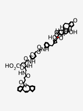 C[C@]12C=CC(=O)C=C1CC[C@@H]1[C@@H]2[C@@H](O)C[C@@]2(C)[C@H]1C[C@H]1O[C@@H](C34CC(Cc5cccc(NC(=O)OCc6ccc(NC(=O)[C@H](CCC(=O)O)NC(=O)CNC(=O)CCC(=O)N7Cc8ccccc8C#Cc8ccccc87)cc6)c5)(C3)C4)O[C@]12C(=O)CO